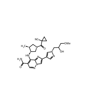 COCC(O)Cn1cc(-c2cn3ncc(C(N)=O)c(N[C@@H]4CN(C(=O)C5(C#N)CC5)C[C@@H]4C)c3n2)cn1